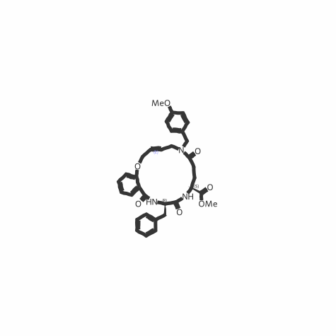 COC(=O)[C@@H]1CCC(=O)N(Cc2ccc(OC)cc2)C/C=C/COc2ccccc2C(=O)N[C@H](Cc2ccccc2)C(=O)N1